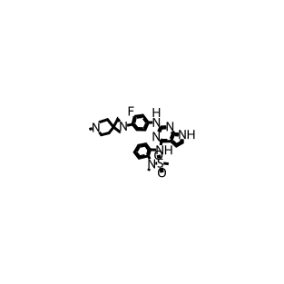 CN1CCC2(CC1)CN(c1ccc(Nc3nc(Nc4ccccc4N(C)S(C)(=O)=O)c4cc[nH]c4n3)cc1F)C2